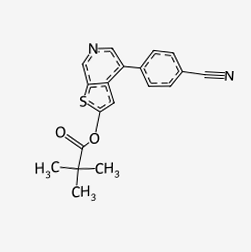 CC(C)(C)C(=O)Oc1cc2c(-c3ccc(C#N)cc3)cncc2s1